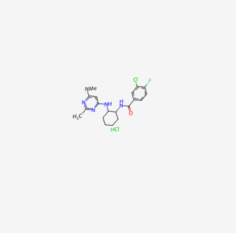 CNc1cc(NC2CCCCC2NC(=O)c2ccc(F)c(Cl)c2)nc(C)n1.Cl